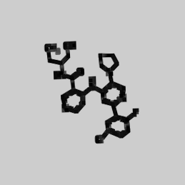 CCC(CO)NC(=O)c1cnccc1Nc1cc(-c2cc(Cl)ccc2F)ncc1N1CCCC1